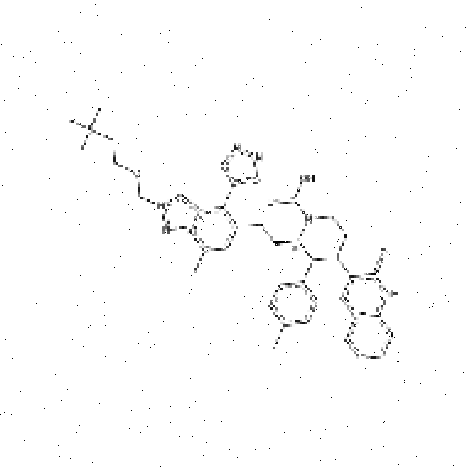 Cc1cc(CC[C@@H]2C(c3ccc(F)cc3)C(c3cc4ccccc4[nH]c3=O)CCN2C(=O)O)c(-c2cnno2)c2cn(COCC[Si](C)(C)C)nc12